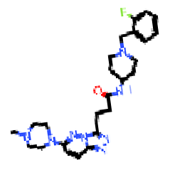 CN1CCN(c2ccc3nnc(CCC(=O)NC4CCN(Cc5ccccc5F)CC4)n3n2)CC1